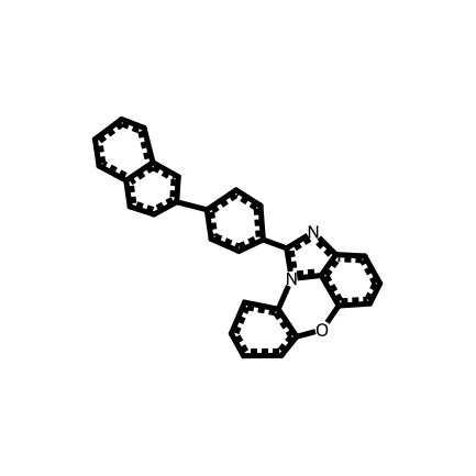 c1ccc2c(c1)Oc1cccc3nc(-c4ccc(-c5ccc6ccccc6c5)cc4)n-2c13